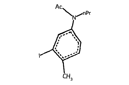 CCCN(C(C)=O)c1ccc(C)c(I)c1